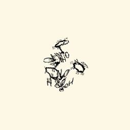 O=C(NNC(=O)[C@@H]1CC[C@@H]2CN1C(=O)N2OS(=O)(=O)O)c1ccco1.c1ccncc1